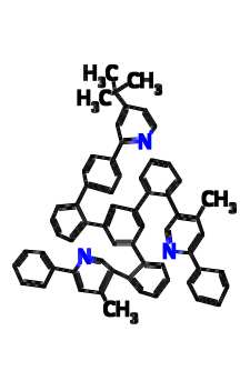 Cc1cc(-c2ccccc2)ncc1-c1ccccc1-c1cc(-c2ccccc2-c2ccc(-c3cc(C(C)(C)C)ccn3)cc2)cc(-c2ccccc2-c2cnc(-c3ccccc3)cc2C)c1